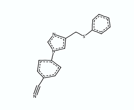 N#Cc1ccc(-n2cnc(CSc3ccccc3)c2)cc1